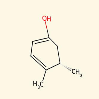 CC1=CC=C(O)C[C@@H]1C